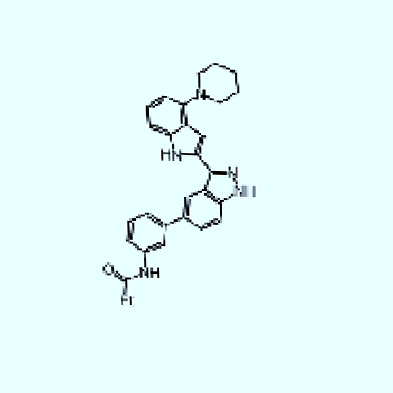 CCC(=O)Nc1cccc(-c2ccc3[nH]nc(-c4cc5c(N6CCCCC6)cccc5[nH]4)c3c2)c1